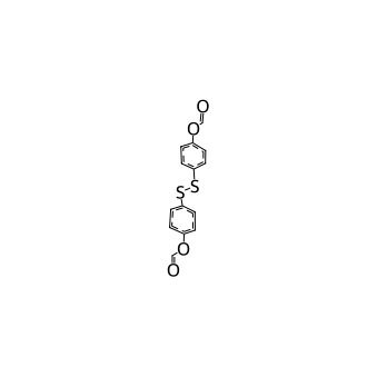 O=COc1ccc(SSc2ccc(OC=O)cc2)cc1